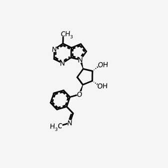 C/N=C\c1ccccc1O[C@H]1C[C@@H](n2ccc3c(C)ncnc32)[C@H](O)[C@@H]1O